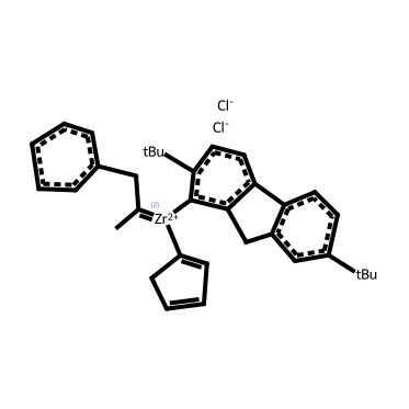 C/[C](Cc1ccccc1)=[Zr+2](\[C]1=CC=CC1)[c]1c(C(C)(C)C)ccc2c1Cc1cc(C(C)(C)C)ccc1-2.[Cl-].[Cl-]